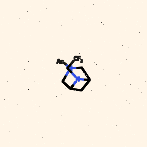 CC(=O)N1CC2CC(C1)N2CC(F)(F)F